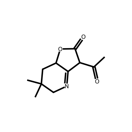 CC(=O)C1C(=O)OC2CC(C)(C)CN=C21